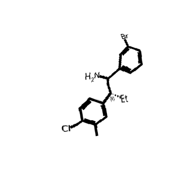 CC[C@H](c1ccc(Cl)c(C)c1)C(N)c1cccc(Br)c1